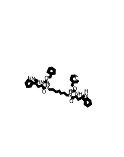 O=C(NC(Cc1c[nH]c2ccccc12)C(=O)NCCCCCCCNC(=O)C(Cc1c[nH]c2ccccc12)NC(=O)OCc1ccccc1)OCc1ccccc1